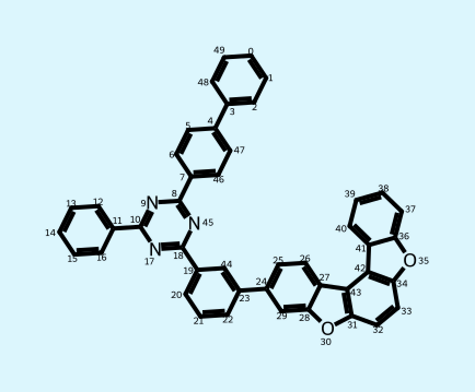 c1ccc(-c2ccc(-c3nc(-c4ccccc4)nc(-c4cccc(-c5ccc6c(c5)oc5ccc7oc8ccccc8c7c56)c4)n3)cc2)cc1